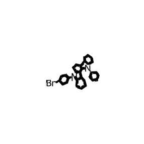 Brc1ccc(-n2c3ccccc3c3c2ccc2c4ccccc4n(-c4ccccc4)c23)cc1